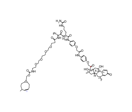 CC1/C=C\CCC2C(CC1)C2COC(=O)NCCOCCOCCOCCOCCC(=O)N[C@H](C(=O)N[C@@H](CCCNC(N)=O)C(=O)Nc1ccc(OCC(=O)Nc2ccc(OCC(=O)[C@@]3(O)[C@H](C)C[C@H]4C5C[C@H](F)C6=CC(=O)C=C[C@]6(C)[C@@]5(F)[C@@H](O)C[C@@]43C)cc2)cc1)C(C)C